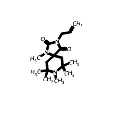 C=CCN1C(=O)N(C)C2(CC(C)(C)N(C)C(C)(C)C2)C1=O